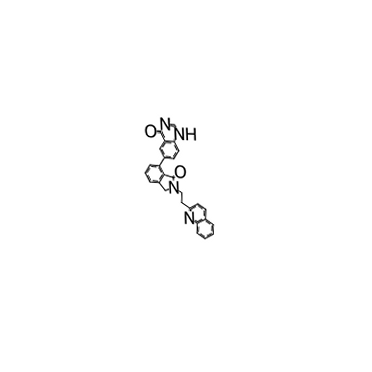 O=C1c2c(cccc2-c2ccc3[nH]cnc(=O)c3c2)CN1CCc1ccc2ccccc2n1